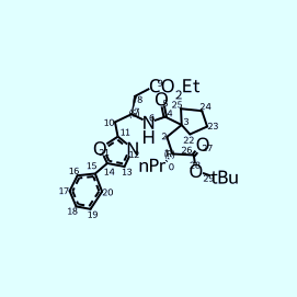 CCC[C@H](CC1(C(=O)N[C@H](CC(=O)OCC)Cc2ncc(-c3ccccc3)o2)CCCC1)C(=O)OC(C)(C)C